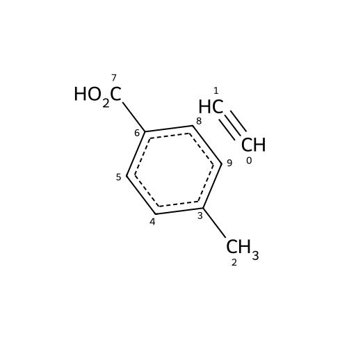 C#C.Cc1ccc(C(=O)O)cc1